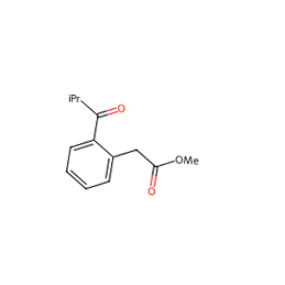 COC(=O)Cc1ccccc1C(=O)C(C)C